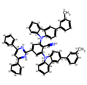 Cc1cccc(-c2ccc3c(c2)c2ccccc2n3-c2cc(-c3nc(-c4ccccc4)cc(-c4ccccc4)n3)cc(-n3c4ccccc4c4cc(-c5cccc(C)c5)ccc43)c2C#N)c1